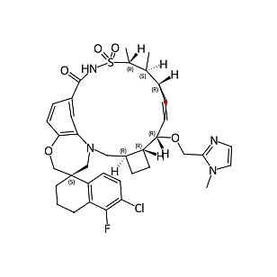 C[C@@H]1[C@@H](C)S(=O)(=O)NC(=O)c2ccc3c(c2)N(C[C@@H]2CC[C@H]2[C@@H](OCc2nccn2C)C2=C[C@H]1C2)C[C@@]1(CCCc2c1ccc(Cl)c2F)CO3